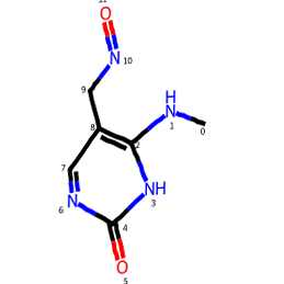 CNc1[nH]c(=O)ncc1CN=O